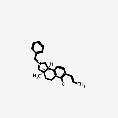 CC=Cc1ccc2c(c1Cl)CC[C@@]1(C)CN(Cc3ccccc3)C[C@@H]21